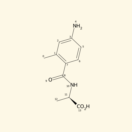 Cc1cc(N)ccc1C(=O)N[C@H](C)C(=O)O